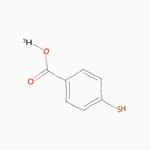 [2H]OC(=O)c1ccc(S)cc1